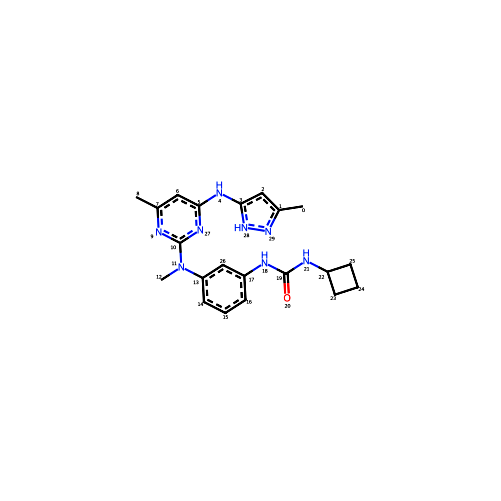 Cc1cc(Nc2cc(C)nc(N(C)c3cccc(NC(=O)NC4CCC4)c3)n2)[nH]n1